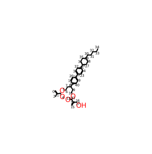 C=C(C)C(=O)OCCC(CCOC(=O)C(=C)CO)c1ccc(-c2ccc(C3CCC(CCCCC)CC3)cc2)cc1